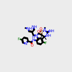 CN/C=C(\C=N)CN1CC[C@]2(C1)[C@@](C)(c1cc(NC(=O)c3ccc(F)cn3)ccc1F)NC(=N)N(C)S2(=O)=O